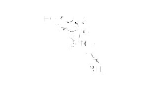 C[C@H]1COc2c(N3CCCC(=C(Cl)CN)CC3)c(F)cc3c(=O)c(C(=O)O)cn1c23